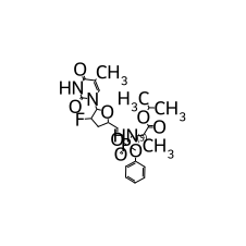 Cc1cn(C2OC(COP(=O)(N[C@@H](C)C(=O)OC(C)C)Oc3ccccc3)CC2F)c(=O)[nH]c1=O